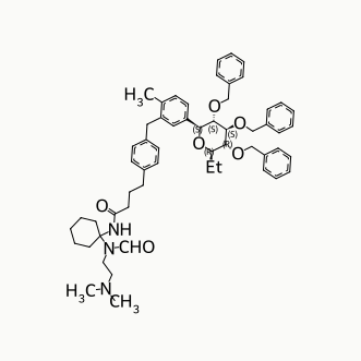 CC[C@H]1O[C@@H](c2ccc(C)c(Cc3ccc(CCCC(=O)NC4(N(C=O)CCN(C)C)CCCCC4)cc3)c2)[C@H](OCc2ccccc2)[C@@H](OCc2ccccc2)[C@@H]1OCc1ccccc1